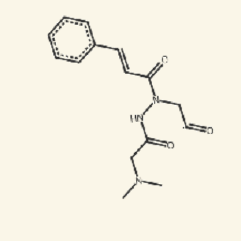 CN(C)CC(=O)NN(C[C]=O)C(=O)C=Cc1ccccc1